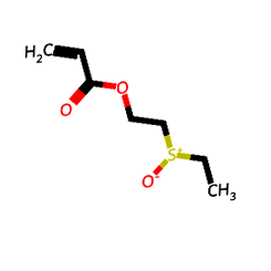 C=CC(=O)OCC[S+]([O-])CC